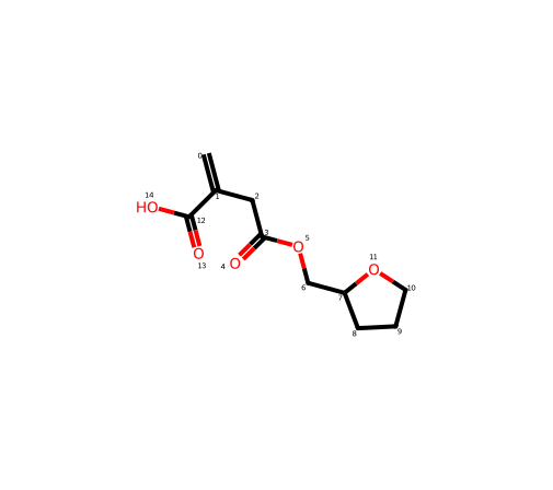 C=C(CC(=O)OCC1CCCO1)C(=O)O